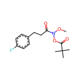 CON(OC(=O)C(C)(C)C)C(=O)CCc1ccc(F)cc1